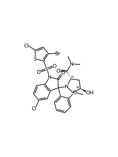 COc1ccccc1C1(N2C[C@H](O)C[C@H]2C(=O)N(C)C)C(=O)N(S(=O)(=O)c2sc(Cl)cc2Br)c2ccc(Cl)cc21